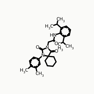 Cc1ccc(N2C(=O)N(CC(=O)Nc3c(C(C)C)cccc3C(C)C)C(=O)C23CCCCC3)cc1C